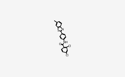 Cc1ccc2nc(-c3ccc(NC(=O)c4ccc(Cl)cc4Cl)cc3)sc2c1